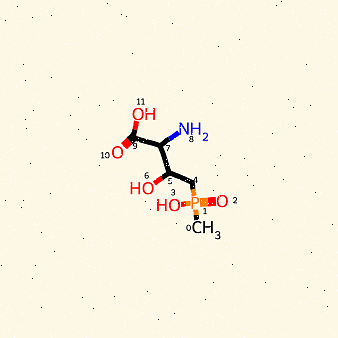 CP(=O)(O)CC(O)C(N)C(=O)O